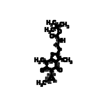 Cc1c(C=NNC(=O)OC(C)(C)C)sc2c1c(=O)n([C@H]1C[C@@H]1C)c(=O)n2C